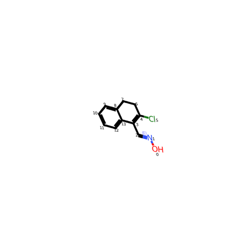 O/N=C/C1=C(Cl)CCc2ccccc21